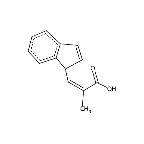 CC(=CC1C=Cc2ccccc21)C(=O)O